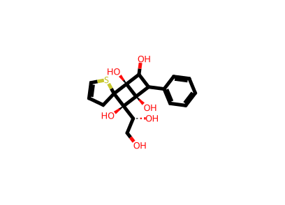 OC[C@@H](O)[C@]1(O)C2(CC=CS2)[C@]2(O)C(O)C(c3ccccc3)[C@@]21O